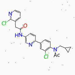 CC(=O)N(CC1CC1)c1ccc(-c2ccc(NC(=O)Cc3cccnc3Cl)cn2)cc1Cl